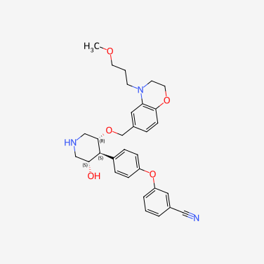 COCCCN1CCOc2ccc(CO[C@H]3CNC[C@@H](O)[C@@H]3c3ccc(Oc4cccc(C#N)c4)cc3)cc21